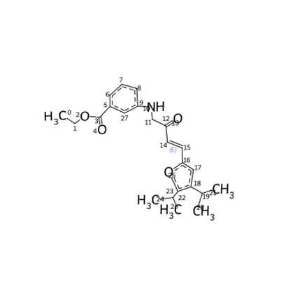 CCOC(=O)c1cccc(NCC(=O)/C=C/c2cc(C(C)C)c(C(C)C)o2)c1